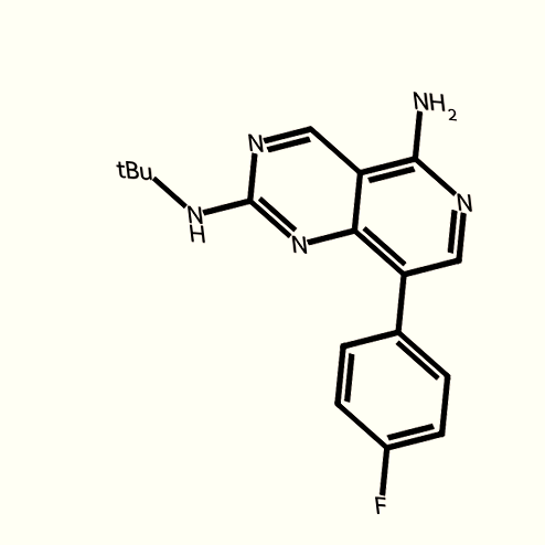 CC(C)(C)Nc1ncc2c(N)ncc(-c3ccc(F)cc3)c2n1